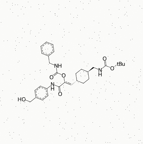 CC(C)(C)OC(=O)NC[C@H]1CC[C@H](C=C(OC(=O)NCc2ccccc2)C(=O)Nc2ccc(CO)cc2)CC1